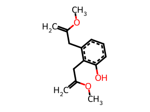 C=C(Cc1cccc(O)c1CC(=C)OC)OC